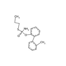 CCCSP(N)(=O)Oc1ccccc1-c1ccccc1C